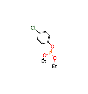 CCOP(OCC)Oc1ccc(Cl)cc1